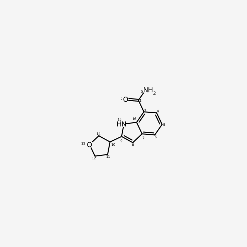 NC(=O)c1cccc2cc(C3CCOC3)[nH]c12